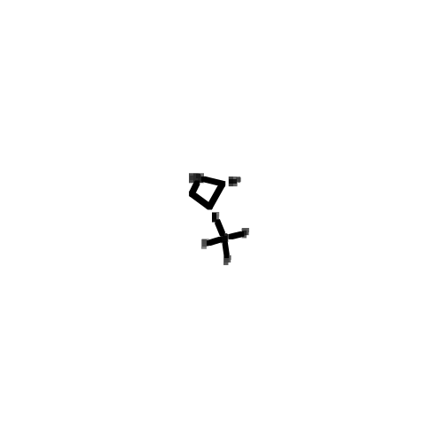 C1CNC1.F[B-](F)(F)F.[H+]